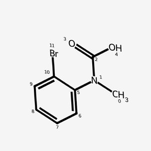 CN(C(=O)O)c1ccccc1Br